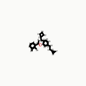 Cc1cccc(C(=O)C[C@@H](c2ccc(CCC3CC3)cc2)C2CCC2)c1C